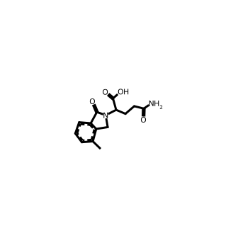 Cc1cccc2c1CN(C(CCC(N)=O)C(=O)O)C2=O